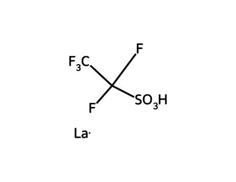 O=S(=O)(O)C(F)(F)C(F)(F)F.[La]